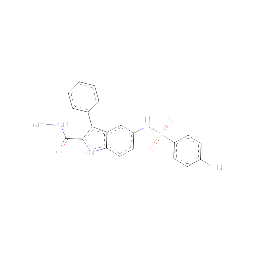 CCCNC(=O)c1[nH]c2ccc(NS(=O)(=O)c3ccc(C#N)cc3)cc2c1-c1ccccc1